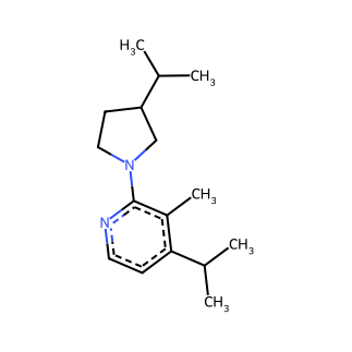 Cc1c(C(C)C)ccnc1N1CCC(C(C)C)C1